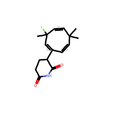 CC1(C)/C=C\C(C2CCC(=O)NC2=O)=C/C(C)(F)/C=C\1